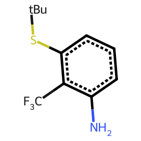 CC(C)(C)Sc1cccc(N)c1C(F)(F)F